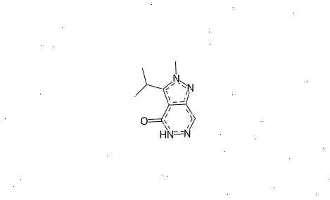 CC(C)c1c2c(=O)[nH]ncc2nn1C